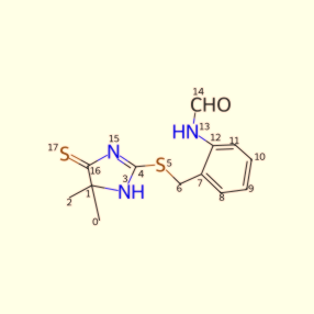 CC1(C)NC(SCc2ccccc2NC=O)=NC1=S